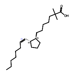 CCCCCC/C=C\[C@H]1CCC[C@@H]1CCCCCC(C)(C)C(=O)O